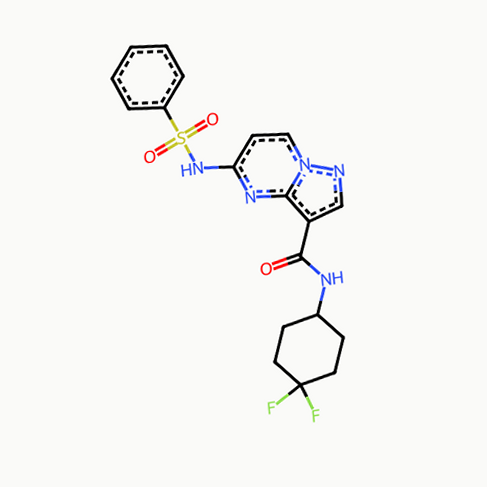 O=C(NC1CCC(F)(F)CC1)c1cnn2ccc(NS(=O)(=O)c3ccccc3)nc12